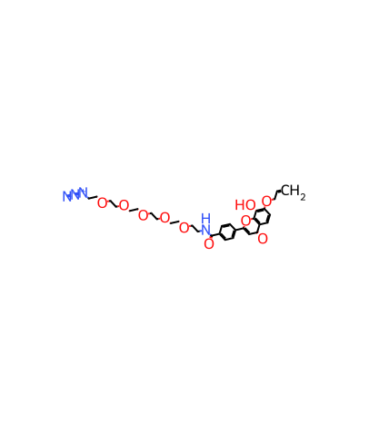 C=CCOc1ccc2c(=O)cc(-c3ccc(C(=O)NCCOCCOCCOCCOCCOCCN=[N+]=[N-])cc3)oc2c1O